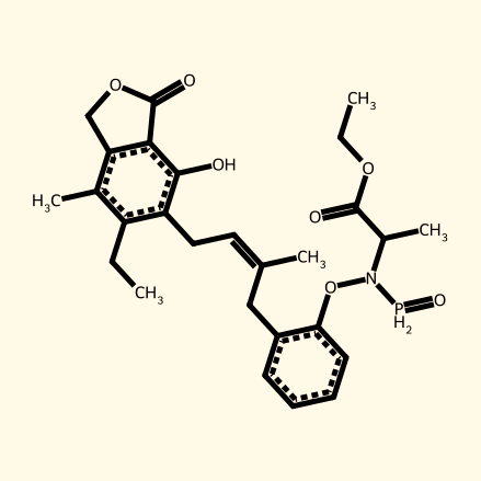 CCOC(=O)C(C)N(Oc1ccccc1CC(C)=CCc1c(O)c2c(c(C)c1CC)COC2=O)[PH2]=O